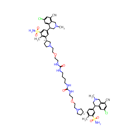 Cc1c([C@@H]2CCN(CCOCCNC(=O)NCCCCNC(=O)NCCOCCN3CC[C@@H](c4cc(C5CN(C)Cc6c(C#N)cc(Cl)cc65)cc(S(N)(=O)=O)c4C)C3)C2)cc(C2CN(C)Cc3c(C#N)cc(Cl)cc32)cc1S(N)(=O)=O